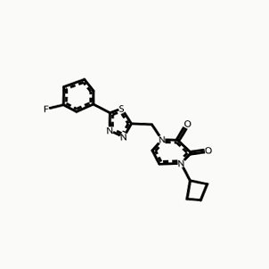 O=c1c(=O)n(C2CCC2)ccn1Cc1nnc(-c2cccc(F)c2)s1